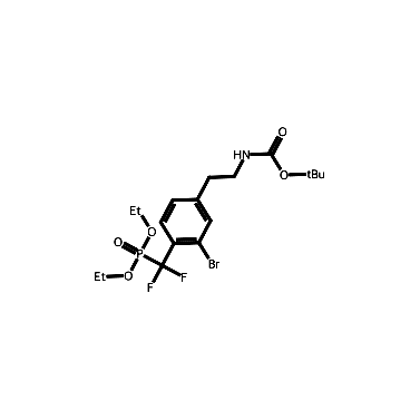 CCOP(=O)(OCC)C(F)(F)c1ccc(CCNC(=O)OC(C)(C)C)cc1Br